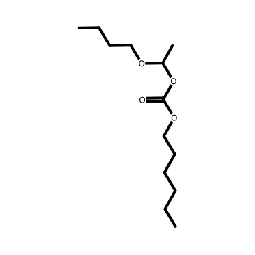 CCCCCCOC(=O)OC(C)OCCCC